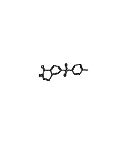 Cc1ccc(S(=O)(=O)c2ccc3c(=O)[nH]ccc3c2)cc1